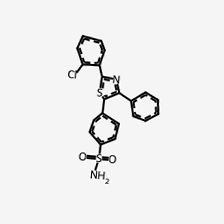 NS(=O)(=O)c1ccc(-c2sc(-c3ccccc3Cl)nc2-c2ccccc2)cc1